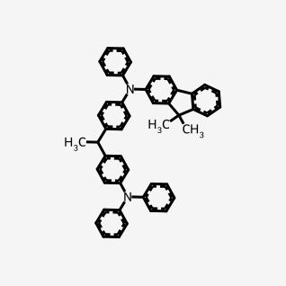 CC(c1ccc(N(c2ccccc2)c2ccccc2)cc1)c1ccc(N(c2ccccc2)c2ccc3c(c2)C(C)(C)c2ccccc2-3)cc1